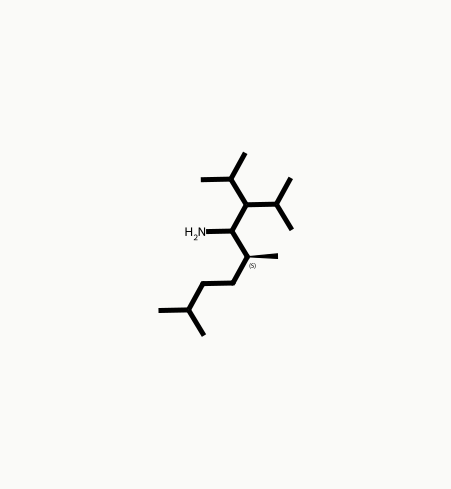 CC(C)CC[C@H](C)C(N)C(C(C)C)C(C)C